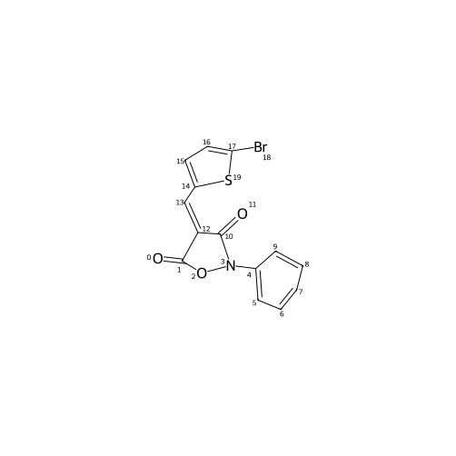 O=C1ON(c2ccccc2)C(=O)C1=Cc1ccc(Br)s1